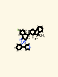 CC1(C)c2ccccc2-c2ccc(-c3cc4nn(-c5ccccc5-c5ccncc5)nc4c4cc(F)ccc34)cc21